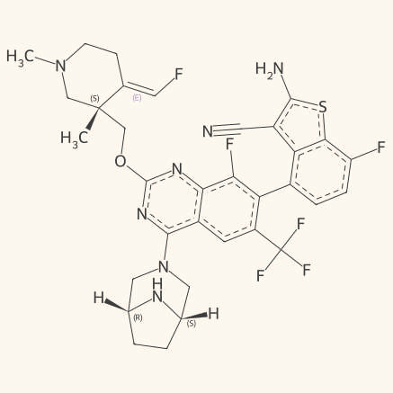 CN1CC/C(=C\F)[C@](C)(COc2nc(N3C[C@H]4CC[C@@H](C3)N4)c3cc(C(F)(F)F)c(-c4ccc(F)c5sc(N)c(C#N)c45)c(F)c3n2)C1